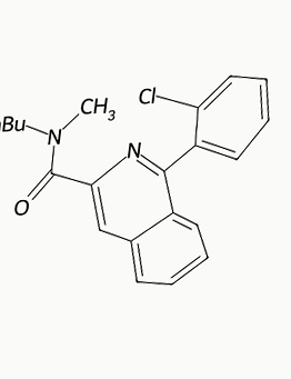 CCCCN(C)C(=O)c1cc2ccccc2c(-c2ccccc2Cl)n1